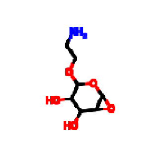 NCCOC1OC2OC2C(O)C1O